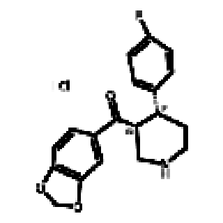 Cl.O=C(c1ccc2c(c1)OCO2)[C@@H]1CNCC[C@H]1c1ccc(F)cc1